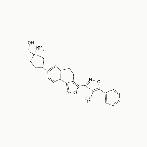 N[C@@]1(CO)CC[C@@H](c2ccc3c(c2)CCc2c-3noc2-c2noc(-c3ccccc3)c2C(F)(F)F)C1